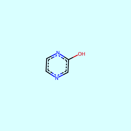 Oc1cnccn1